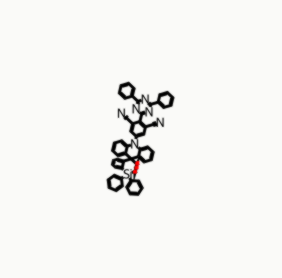 N#Cc1cc(N2c3ccccc3C3(c4ccccc42)c2ccccc2[Si](c2ccccc2)(c2ccccc2)c2ccccc23)cc(C#N)c1-c1nc(-c2ccccc2)nc(-c2ccccc2)n1